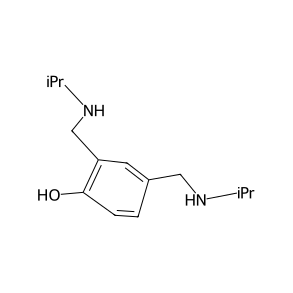 CC(C)NCc1ccc(O)c(CNC(C)C)c1